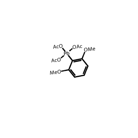 COc1cccc(OC)[c]1[Pb]([O]C(C)=O)([O]C(C)=O)[O]C(C)=O